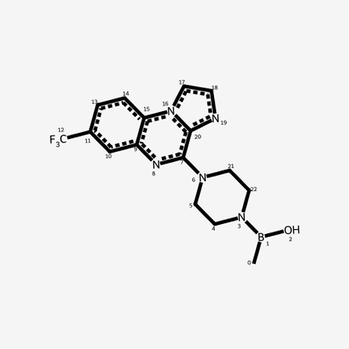 CB(O)N1CCN(c2nc3cc(C(F)(F)F)ccc3n3ccnc23)CC1